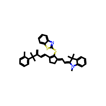 C=C(/C=C/C1=C(Sc2nc3ccccc3s2)C(=C/C=C2/N(C)c3ccccc3C2(C)C)/CC1)C(C)(C)c1ccccc1C